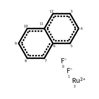 [F-].[F-].[Ru+2].c1ccc2ccccc2c1